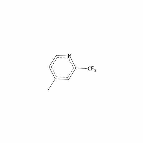 Cc1ccnc(C(F)(F)F)c1